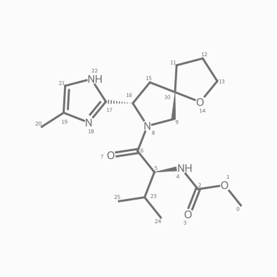 COC(=O)N[C@H](C(=O)N1C[C@]2(CCCO2)C[C@H]1c1nc(C)c[nH]1)C(C)C